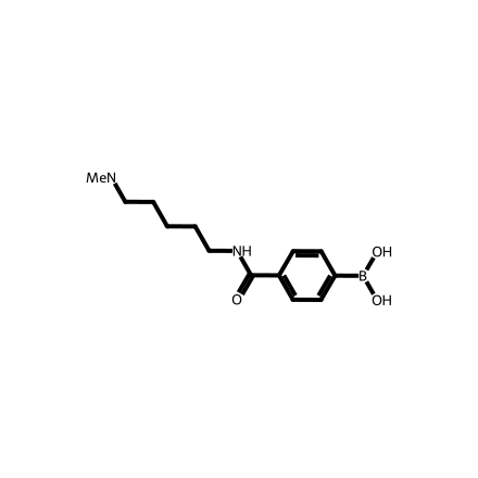 CNCCCCCNC(=O)c1ccc(B(O)O)cc1